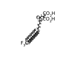 O=C(O)CC(CC(=O)OCCCCCCC(F)(F)C(F)(F)C(F)(F)C(F)(F)C(F)(F)C(F)(F)C(F)(F)C(F)(F)F)C(=O)O